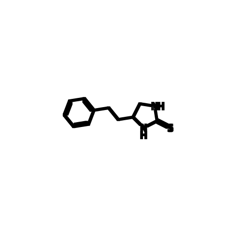 S=C1NCC(CCc2ccccc2)N1